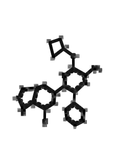 Nc1nc(-c2ccccc2)c(-c2cc(Cl)c3[nH]ncc3c2)nc1OC1CCC1